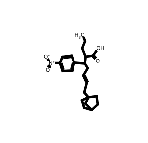 CCCC(C(=O)O)C(CC=CCC12CCC(CC1)C2)c1ccc([N+](=O)[O-])cc1